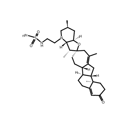 CCCS(=O)(=O)NCCN1C[C@@H](C)C[C@H]2O[C@]3(CC[C@@H]4C(=C(C)C3)C[C@H]3[C@H]4CCC4=CC(=O)CC[C@@]43C)[C@H](C)[C@@H]21